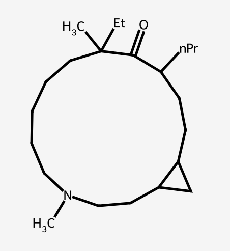 CCCC1CCC2CC2CCN(C)CCCCCC(C)(CC)C1=O